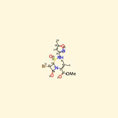 COC(=O)C(=C(C)C)N1C(=O)C(Br)C1[S+]([O-])Nc1cc(C)on1